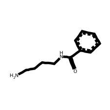 NCCCCNC(=O)c1ccccc1